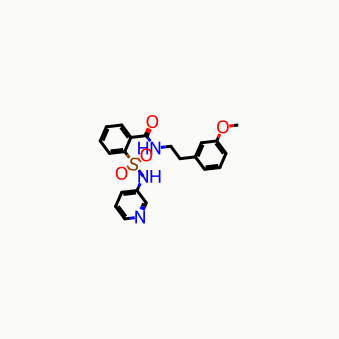 COc1cccc(CCNC(=O)c2ccccc2S(=O)(=O)Nc2cccnc2)c1